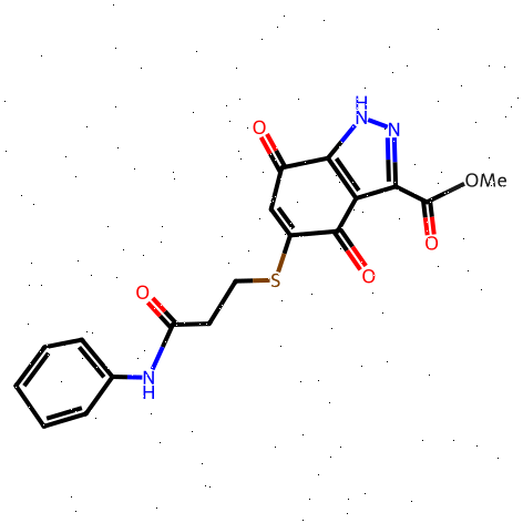 COC(=O)c1n[nH]c2c1C(=O)C(SCCC(=O)Nc1ccccc1)=CC2=O